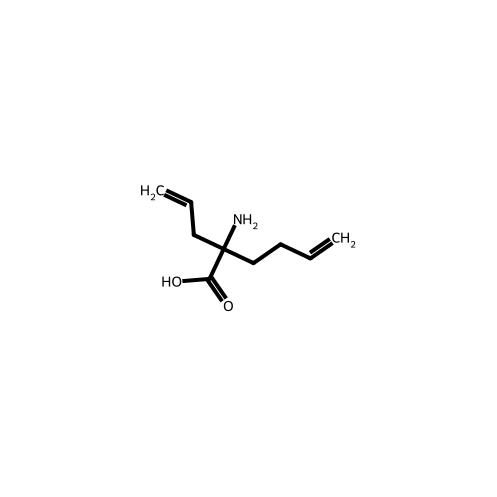 C=CCCC(N)(CC=C)C(=O)O